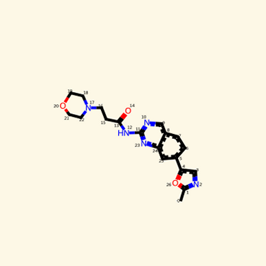 Cc1ncc(-c2ccc3cnc(NC(=O)CCN4CCOCC4)nc3c2)o1